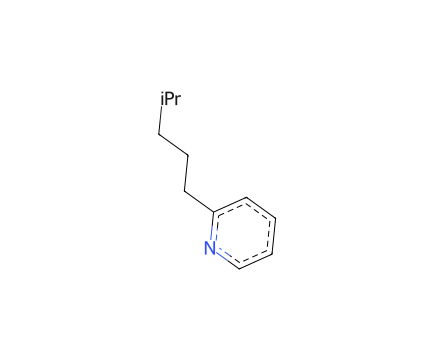 CC(C)CCCc1ccccn1